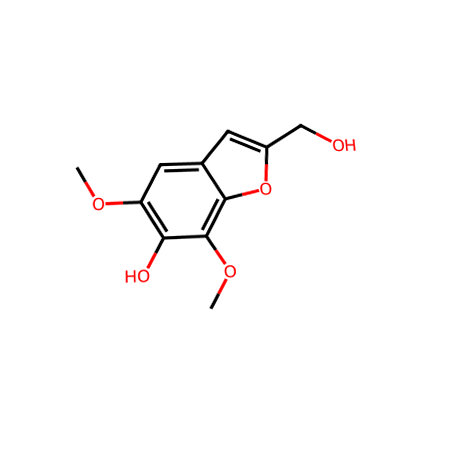 COc1cc2cc(CO)oc2c(OC)c1O